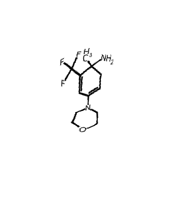 CC1(N)CC=C(N2CCOCC2)C=C1C(F)(F)F